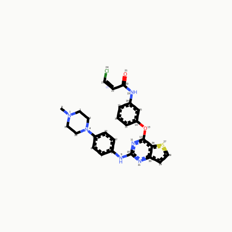 CN1CCN(c2ccc(Nc3nc(Oc4cccc(NC(=O)/C=C\Cl)c4)c4sccc4n3)cc2)CC1